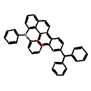 c1ccc(C(c2ccccc2)c2ccc3c(ccc4c3ccc3cccc(N(c5ccccc5)c5ccccc5)c34)c2)cc1